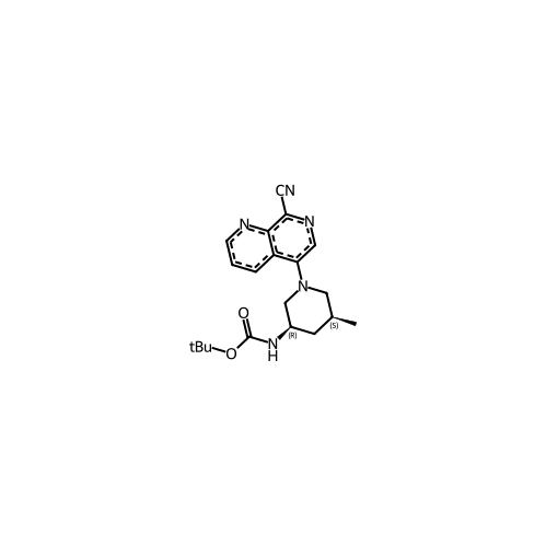 C[C@H]1C[C@@H](NC(=O)OC(C)(C)C)CN(c2cnc(C#N)c3ncccc23)C1